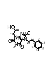 Cn1c(=O)c2c(nc(Cl)n2CCc2ccccc2)n(CCO)c1=O